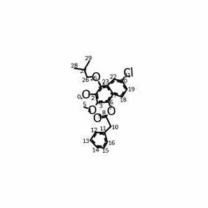 COc1c(OC)c(OC(=O)Cc2ccccc2)c2ccc(Cl)cc2c1OCC(C)C